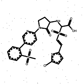 CS(=O)(=O)c1ccccc1-c1ccc(N2CCC(NC(C(=O)O)S(=O)(=O)C=Cc3ccc(Cl)s3)C2=O)nc1